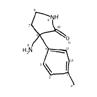 Cc1ccc(C2(N)CCNC2=O)cc1